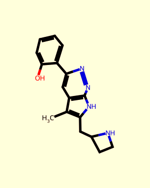 Cc1c(CC2CCN2)[nH]c2nnc(-c3ccccc3O)cc12